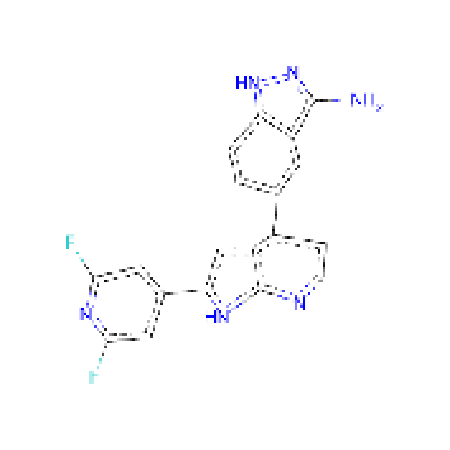 Nc1n[nH]c2ccc(-c3ccnc4[nH]c(-c5cc(F)nc(F)c5)cc34)cc12